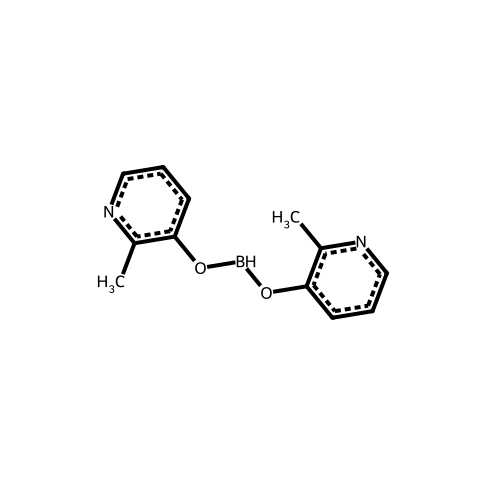 Cc1ncccc1OBOc1cccnc1C